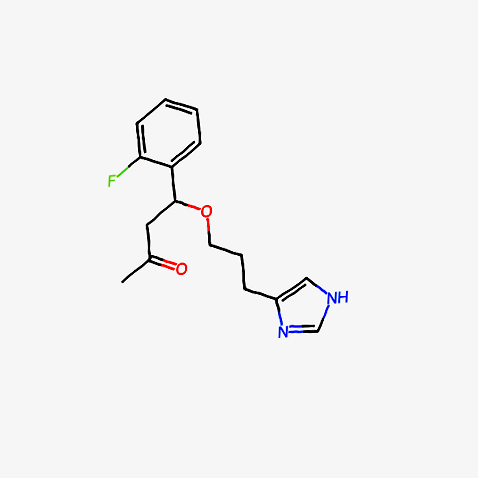 CC(=O)CC(OCCCc1c[nH]cn1)c1ccccc1F